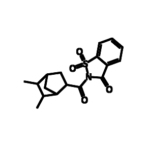 CC1C2CC(C(=O)N3C(=O)c4ccccc4S3(=O)=O)C(C2)C1C